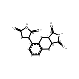 O=C1CC(c2cccc3c2CC2C(=O)OC(=O)C2C3)C(=O)O1